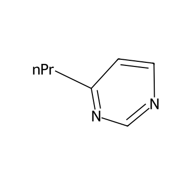 C[CH]Cc1ccncn1